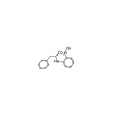 O=C(O)[C@H](Cc1ccccc1)Nc1ccccc1CO